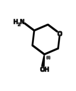 NC1COC[C@@H](O)C1